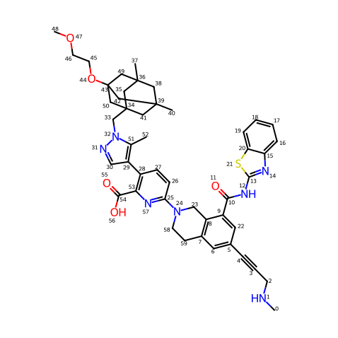 CNCC#Cc1cc2c(c(C(=O)Nc3nc4ccccc4s3)c1)CN(c1ccc(-c3cnn(CC45CC6(C)CC(C)(C4)CC(OCCOC)(C6)C5)c3C)c(C(=O)O)n1)CC2